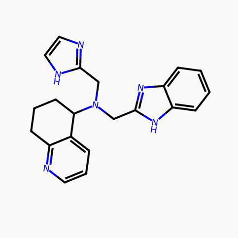 c1cnc2c(c1)C(N(Cc1ncc[nH]1)Cc1nc3ccccc3[nH]1)CCC2